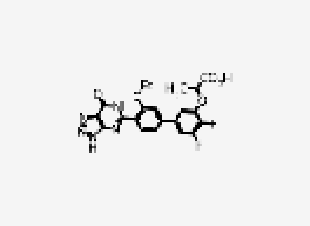 CCOc1cc(-c2cc(F)c(F)c(OC(C)C(=O)O)c2)ccc1-c1nc2[nH]nnc2c(=O)[nH]1